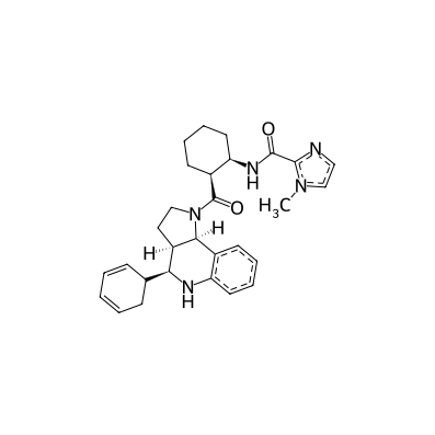 Cn1ccnc1C(=O)N[C@@H]1CCCC[C@@H]1C(=O)N1CC[C@@H]2[C@H](C3C=CC=CC3)Nc3ccccc3[C@@H]21